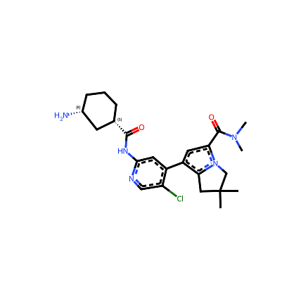 CN(C)C(=O)c1cc(-c2cc(NC(=O)[C@H]3CCC[C@@H](N)C3)ncc2Cl)c2n1CC(C)(C)C2